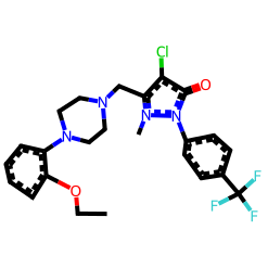 CCOc1ccccc1N1CCN(Cc2c(Cl)c(=O)n(-c3ccc(C(F)(F)F)cc3)n2C)CC1